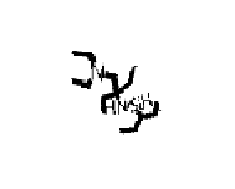 CCC(CC)[SiH2]NC(CC)(CC)CN(CC)CC